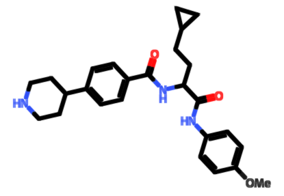 COc1ccc(NC(=O)C(CCC2CC2)NC(=O)c2ccc(C3CCNCC3)cc2)cc1